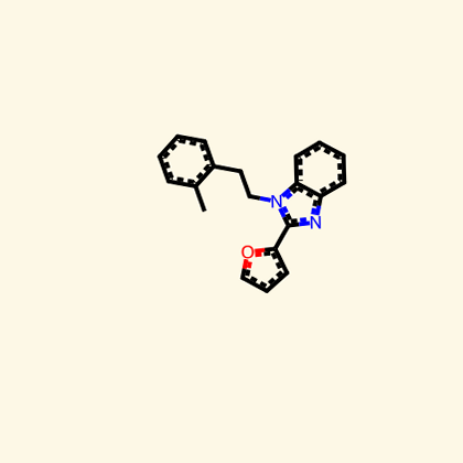 Cc1ccccc1CCn1c(-c2ccco2)nc2ccccc21